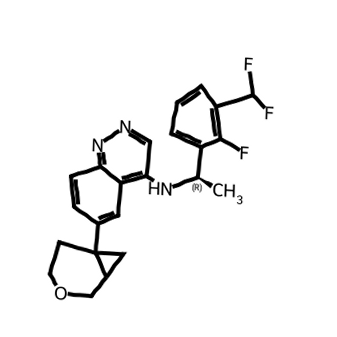 C[C@@H](Nc1cnnc2ccc(C34CCOCC3C4)cc12)c1cccc(C(F)F)c1F